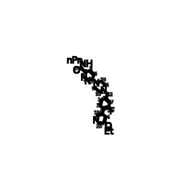 CCCNC(=O)c1ccc(N2CCN(Cc3ccc(-c4cncc(OCC)c4)c(F)c3)CC2)nn1